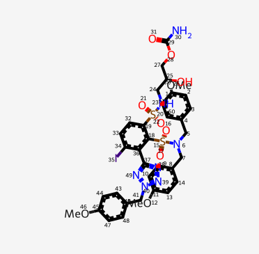 COc1ccc(CN(Cc2ccc(OC)cc2)S(=O)(=O)c2c(S(=O)(=O)NC[C@H](O)COC(N)=O)ccc(I)c2-c2nnn(Cc3ccc(OC)cc3)n2)cc1